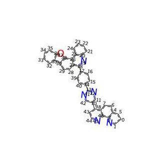 c1cnc2c(c1)ccc1c(-c3cnc(-c4ccc(-c5nc6ccccc6c6c5ccc5c7ccccc7oc56)cc4)nc3)ccnc12